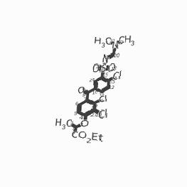 CCOC(=O)C(C)Oc1ccc(C(=O)c2ccc(Cl)c(S(=O)(=O)N=CN(C)C)c2)c(Cl)c1Cl